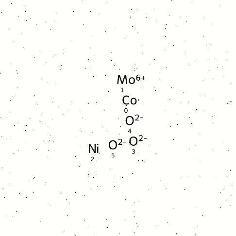 [Co].[Mo+6].[Ni].[O-2].[O-2].[O-2]